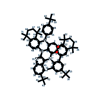 Cc1cc2c3c(c1)N(c1c(C)cc(C(C)(C)C)cc1-c1ccc4c(c1)C(C)(C)CCC4(C)C)c1c(sc4ccc(C(C)(C)C)cc14)B3c1ccc3c(c1N2c1ccc(C(C)(C)C)cc1)C(C)(C)CCC3(C)C